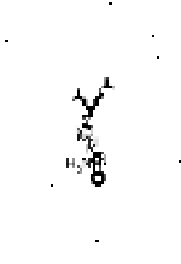 CC(C)=CCC(CCCCC(C)C)CSc1nnc(/N=N/c2cnn(-c3ccccc3)c2N)s1